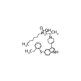 CCCCCCCC(=O)O.CCc1ccccc1Sc1ccc2[nH]cc(C3=CCN(C(C)C)CC3)c2c1